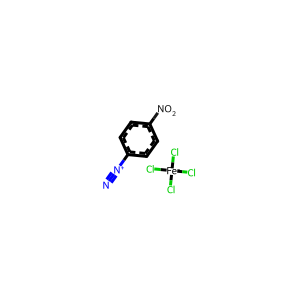 N#[N+]c1ccc([N+](=O)[O-])cc1.[Cl][Fe-]([Cl])([Cl])[Cl]